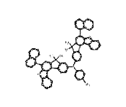 Cc1ccc(N(c2ccc3c(c2)C(C)(C)c2cc(-c4cccc5ccccc45)c4oc5ccccc5c4c2-3)c2ccc3c(c2)C(C)(C)c2cc(-c4cccc5ccccc45)c4oc5ccccc5c4c2-3)cc1